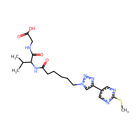 CSc1ncc(-c2cn(CCCCCC(=O)NC(C(=O)NCC(=O)O)C(C)C)nn2)cn1